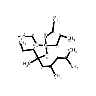 CCCC(N)(CC(C)CC(C)C)O[Si](CCC)(OCC)OCC